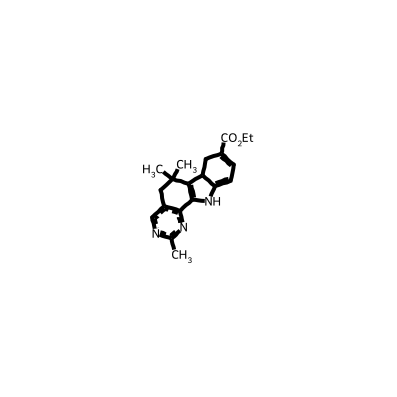 CCOC(=O)C1=CC=C2NC3=C(C2C1)C(C)(C)Cc1cnc(C)nc13